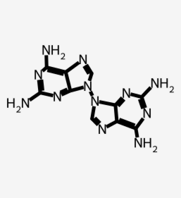 Nc1nc(N)c2ncn(-n3cnc4c(N)nc(N)nc43)c2n1